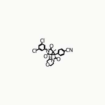 C[C@]12C(=O)N(c3cc(Cl)cc(Cl)c3)C(=O)[C@H]1[C@@]2(C(=O)N1CCOCC1)c1ccc(C#N)cc1